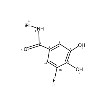 CC(C)NC(=O)c1cc(O)c(O)c(F)c1